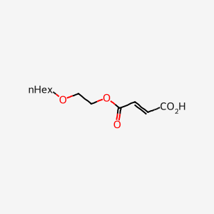 CCCCCCOCCOC(=O)/C=C/C(=O)O